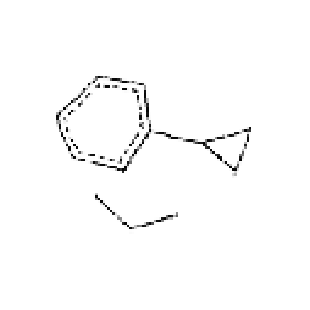 C[CH]C.[CH]1CC1c1ccccc1